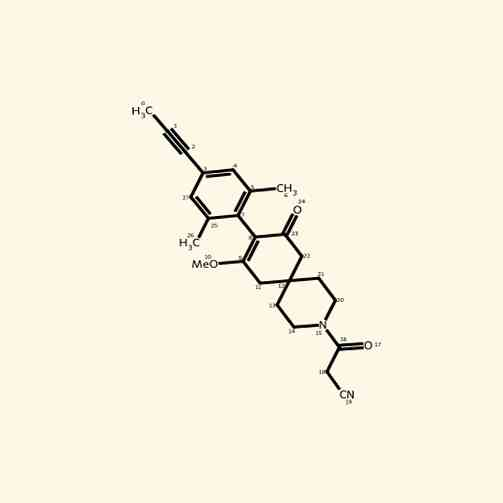 CC#Cc1cc(C)c(C2=C(OC)CC3(CCN(C(=O)CC#N)CC3)CC2=O)c(C)c1